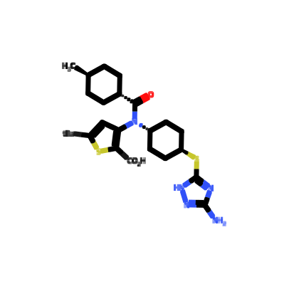 CC(C)(C)c1cc(N(C(=O)[C@H]2CC[C@H](C)CC2)[C@H]2CC[C@H](Sc3nc(N)n[nH]3)CC2)c(C(=O)O)s1